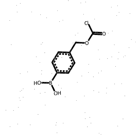 O=C(Cl)OCc1ccc(B(O)O)cc1